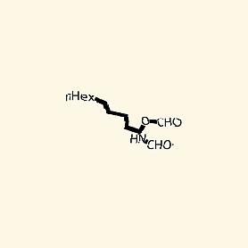 CCCCCCCCCCC(N[C]=O)OC=O